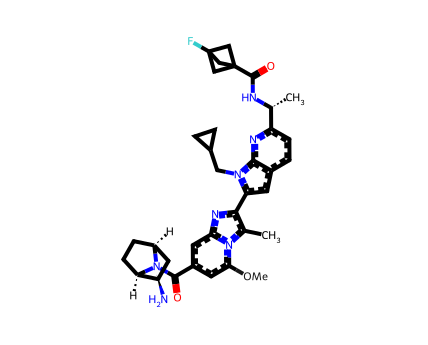 COc1cc(C(=O)N2[C@H]3CC[C@@H]2[C@H](N)C3)cc2nc(-c3cc4ccc([C@@H](C)NC(=O)C56CC(F)(C5)C6)nc4n3CC3CC3)c(C)n12